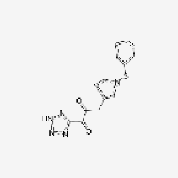 O=C(Cc1ccn(Sc2ccccc2)c1)C(=O)c1nn[nH]n1